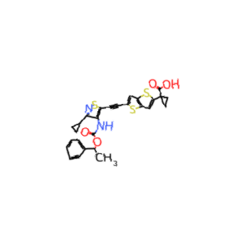 CC(OC(=O)Nc1c(C2CC2)nsc1C#Cc1cc2sc(C3(C(=O)O)CC3)cc2s1)c1ccccc1